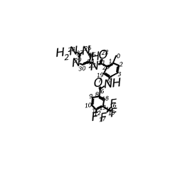 Cc1ccc(NC(=O)c2ccc(F)c(C(F)(F)F)c2)cc1C(=O)Nc1cnc(N)nc1